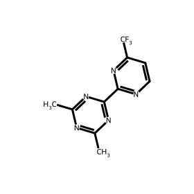 Cc1nc(C)nc(-c2nccc(C(F)(F)F)n2)n1